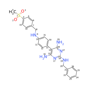 CS(=O)(=O)c1ccc(CNc2ccc(-c3c(N)nc(NCc4ccccc4)nc3N)cc2)cc1